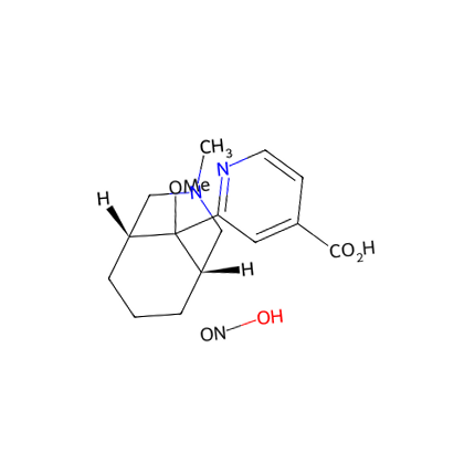 COC1(c2cc(C(=O)O)ccn2)[C@@H]2CCC[C@H]1CN(C)C2.O=NO